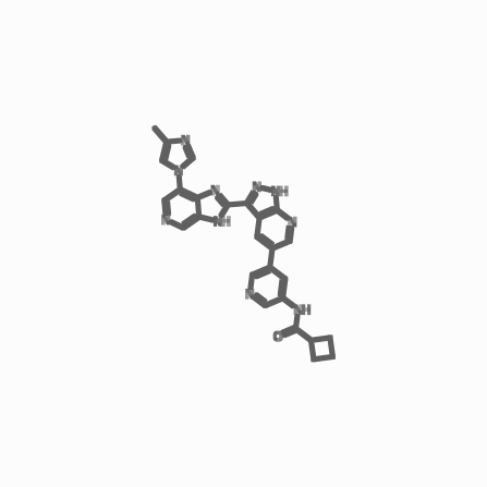 Cc1cn(-c2cncc3[nH]c(-c4n[nH]c5ncc(-c6cncc(NC(=O)C7CCC7)c6)cc45)nc23)cn1